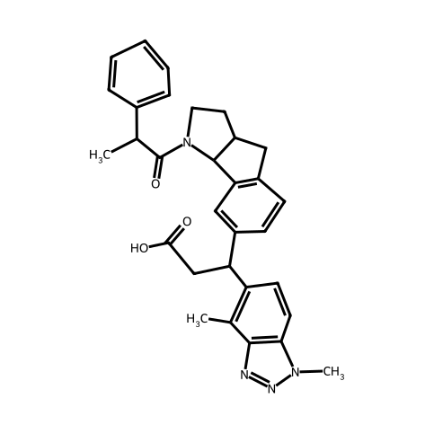 Cc1c(C(CC(=O)O)c2ccc3c(c2)C2C(CCN2C(=O)C(C)c2ccccc2)C3)ccc2c1nnn2C